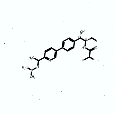 CC(ON(C)C)c1ccc(-c2ccc([C@H](O)[C@@H](CF)NC(=O)C(F)F)cc2)cn1